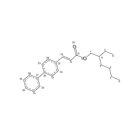 CCCCC(CC)COC(=O)C=Cc1ccc(-c2ccccc2)cc1